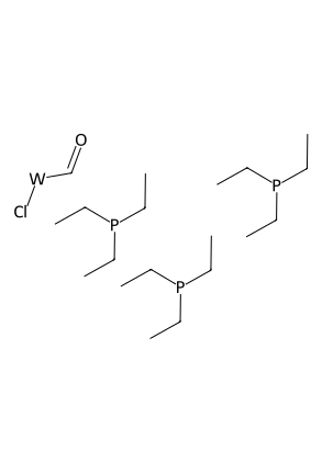 CCP(CC)CC.CCP(CC)CC.CCP(CC)CC.O=[CH][W][Cl]